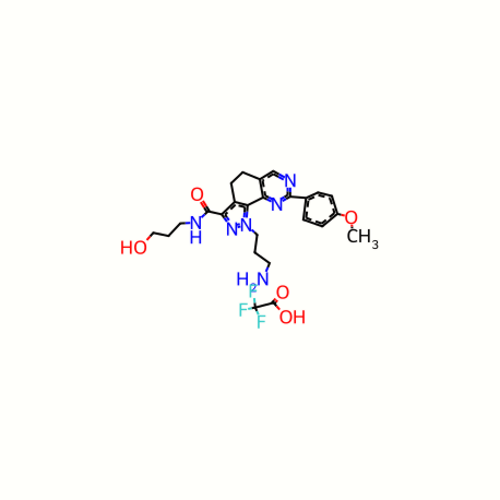 COc1ccc(-c2ncc3c(n2)-c2c(c(C(=O)NCCCO)nn2CCCN)CC3)cc1.O=C(O)C(F)(F)F